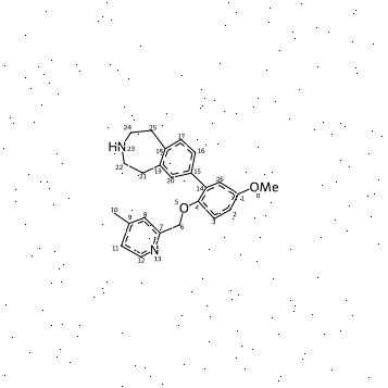 COc1ccc(OCc2cc(C)ccn2)c(-c2ccc3c(c2)CCNCC3)c1